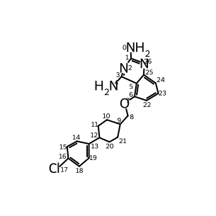 Nc1nc(N)c2c(OCC3CCC(c4ccc(Cl)cc4)CC3)cccc2n1